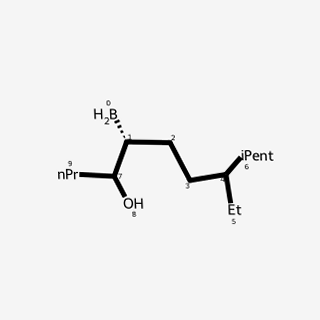 B[C@H](CCC(CC)C(C)CCC)C(O)CCC